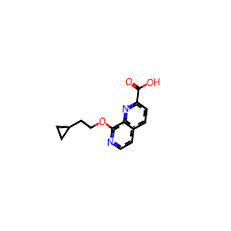 O=C(O)c1ccc2ccnc(OCCC3CC3)c2n1